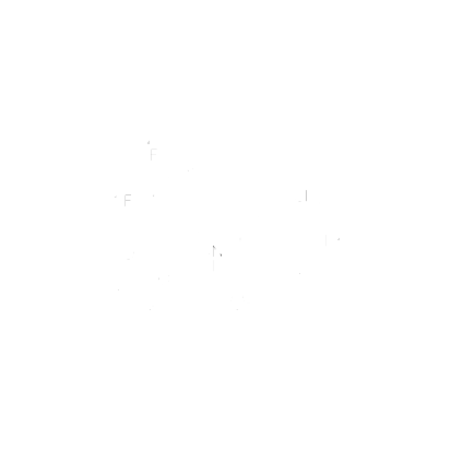 O=C(O)c1cc(F)c(C(F)(F)F)cc1Nc1ccc(F)c(F)c1C1OCCO1